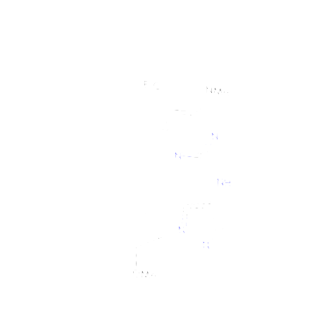 CNc1nc(Nc2cnn(C(C)(C)COC)c2C)ncc1C(F)(F)F